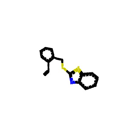 C=Cc1ccccc1CSc1nc2ccccc2s1